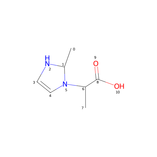 CC1NC=CN1C(C)C(=O)O